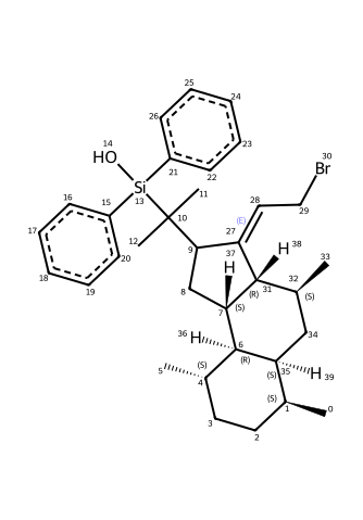 C[C@H]1CC[C@H](C)[C@H]2[C@@H]3CC(C(C)(C)[Si](O)(c4ccccc4)c4ccccc4)/C(=C/CBr)[C@@H]3[C@@H](C)C[C@H]21